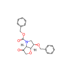 O=C1CO[C@H]2[C@@H]1N(C(=O)OCc1ccccc1)C[C@H]2OCc1ccccc1